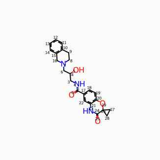 O=C(NCC(O)CN1CCc2ccccc2C1)c1ccc2c(c1)NC(=O)C1(CC1)O2